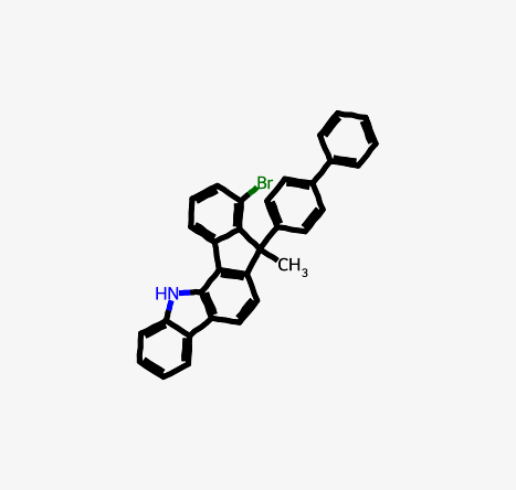 CC1(c2ccc(-c3ccccc3)cc2)c2ccc3c([nH]c4ccccc43)c2-c2cccc(Br)c21